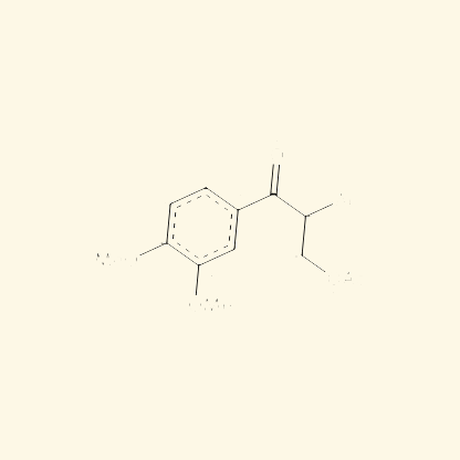 COc1ccc(C(=O)C(COC(C)=O)C(C)=O)cc1OC